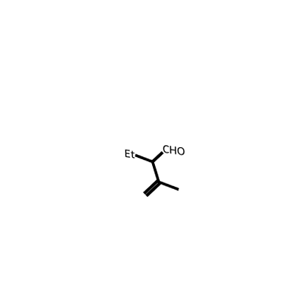 C=C(C)C(C=O)CC